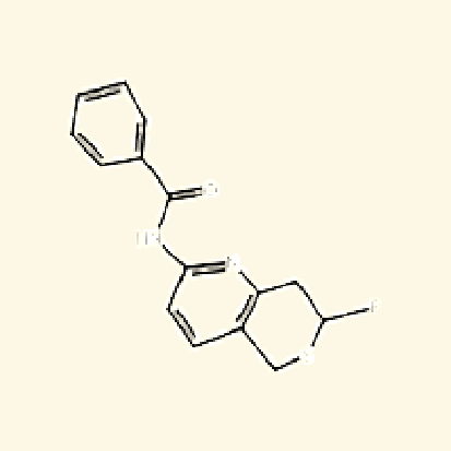 O=C(Nc1ccc2c(n1)CC(F)SC2)c1ccccc1